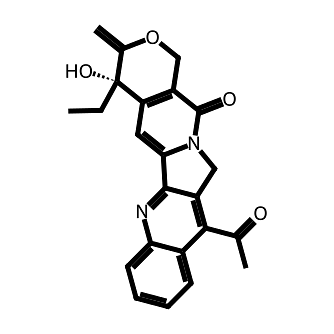 C=C1OCc2c(cc3n(c2=O)Cc2c-3nc3ccccc3c2C(C)=O)[C@@]1(O)CC